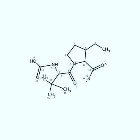 CCC1CCN(C(=O)[C@@H](NC(=O)O)C(C)(C)C)C1C(N)=O